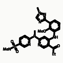 CCC(=O)c1cnc(N(C)c2ccc(S(=O)(=O)NC)cn2)cc1Nc1cccc(-c2ncn(C)n2)c1OC